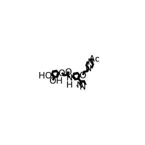 CC(=O)N1CCN(CCOc2ccc(NC(=O)COc3ccc(O)c(O)c3)cc2-c2ccnn2C)CC1